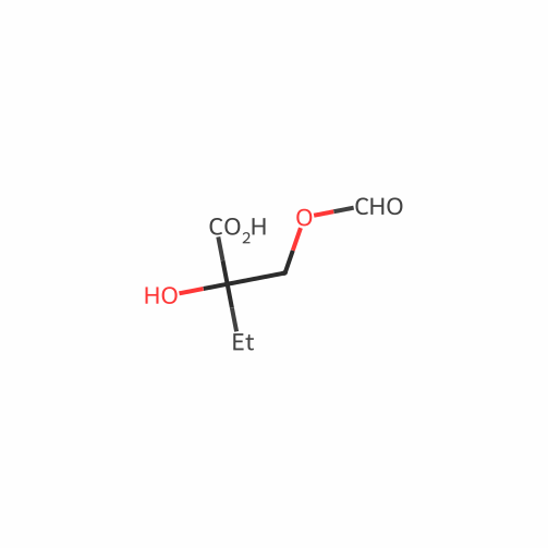 CCC(O)(COC=O)C(=O)O